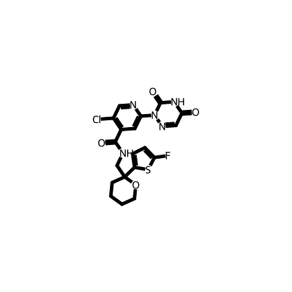 O=C(NCC1(c2ccc(F)s2)CCCCO1)c1cc(-n2ncc(=O)[nH]c2=O)ncc1Cl